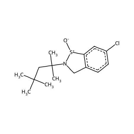 CC(C)(C)CC(C)(C)N1Cc2ccc(Cl)cc2[S+]1[O-]